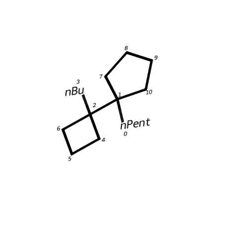 CCCCCC1(C2(CCCC)CCC2)CCCC1